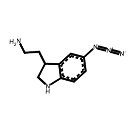 [N-]=[N+]=Nc1ccc2c(c1)C(CCN)CN2